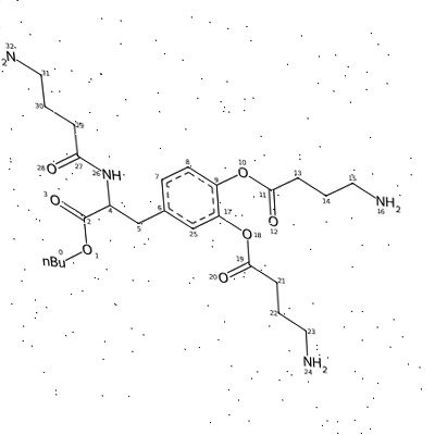 CCCCOC(=O)C(Cc1ccc(OC(=O)CCCN)c(OC(=O)CCCN)c1)NC(=O)CCCN